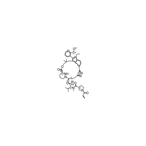 C=CC(=O)N1CC[C@H](C(=O)N(C)[C@H](C(=O)N[C@H]2Cc3nnc(o3)-c3ccc4c(c3)c(c(-c3cccnc3[C@H](C)OC)n4CC)CC(C)(C)COC(=O)[C@@H]3CCCN(N3)C2=O)C(C)C)C1